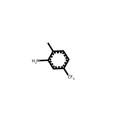 [CH2]c1ccc(C(F)(F)F)cc1N